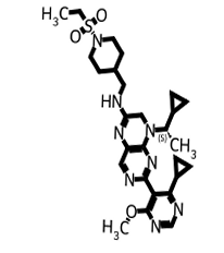 CCS(=O)(=O)N1CCC(CNC2=Nc3cnc(-c4c(OC)ncnc4C4CC4)nc3N([C@@H](C)C3CC3)C2)CC1